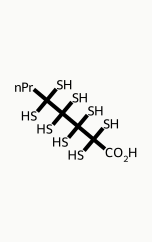 CCCC(S)(S)C(S)(S)C(S)(S)C(S)(S)C(=O)O